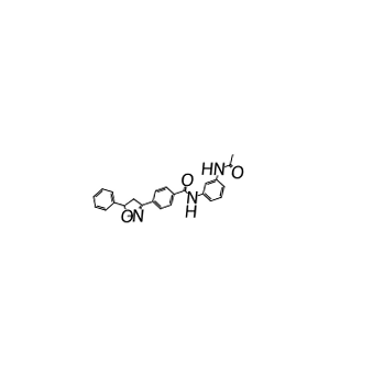 CC(=O)Nc1cccc(NC(=O)c2ccc(C3=NOC(c4ccccc4)C3)cc2)c1